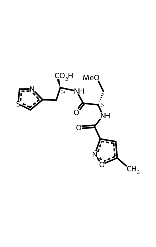 COC[C@H](NC(=O)c1cc(C)on1)C(=O)N[C@@H](Cc1cscn1)C(=O)O